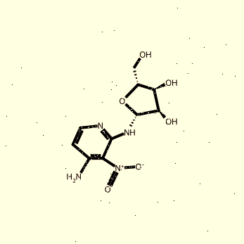 Nc1ccnc(N[C@@H]2O[C@H](CO)[C@@H](O)[C@H]2O)c1[N+](=O)[O-]